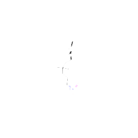 C=C=C=CCC(C)(C)CCC[N+](=O)[O-]